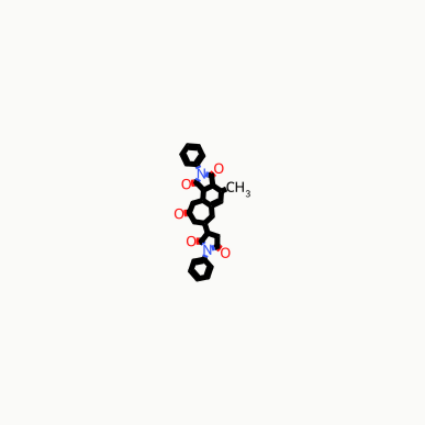 CC1C=C2CC(C3CC(=O)N(c4ccccc4)C3=O)CC(=O)CC2C2C(=O)N(c3ccccc3)C(=O)C12